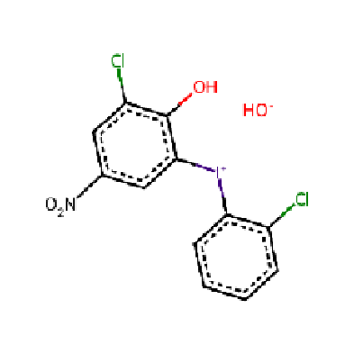 O=[N+]([O-])c1cc(Cl)c(O)c([I+]c2ccccc2Cl)c1.[OH-]